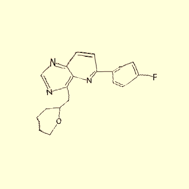 Fc1ccc(-c2ccc3ncnc(CC4CCCCO4)c3n2)cc1